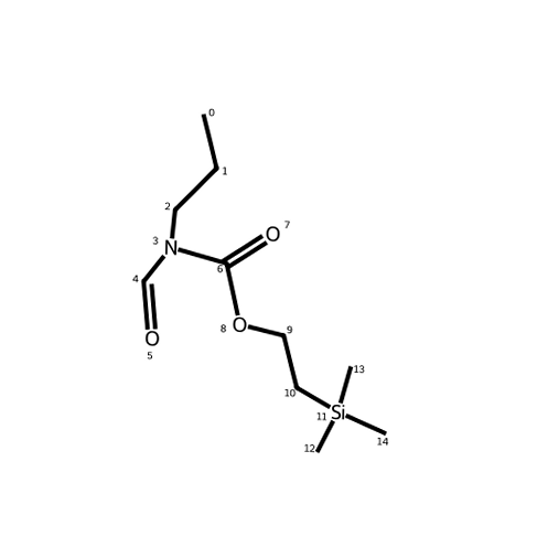 CCCN(C=O)C(=O)OCC[Si](C)(C)C